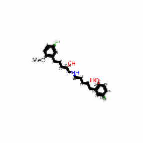 COc1ccc(F)cc1CCC[C@H](O)CNCCCCCc1cc(F)ccc1O